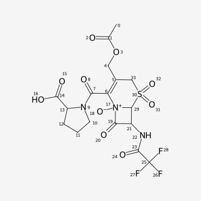 CC(=O)OCC1=C(C(=O)N2CCCC2C(=O)O)[N+]2([O-])C(=O)C(NC(=O)C(F)(F)F)C2S(=O)(=O)C1